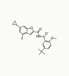 COc1ccc(C(C)(C)C)cc1[S+]([O-])NC(=O)c1cc2c(F)cc(C3CC3)cc2o1